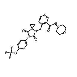 O=C(NN1CCOCC1)c1cnccc1CN1C(=O)N(c2ccc(OC(F)(F)F)cc2)C(=O)C12CC2